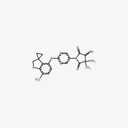 Cc1ccc(Oc2ncc(N3C(=O)C(=N)C(C)(C)C3=O)cn2)c2c1OCC21CC1